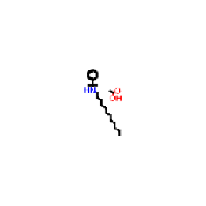 CC(=O)O.CCCCCCCCCCCCNC(C)(C)c1ccccc1